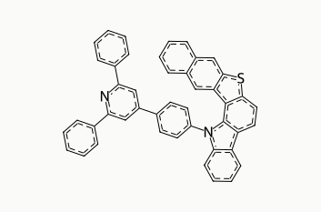 c1ccc(-c2cc(-c3ccc(-n4c5ccccc5c5ccc6sc7cc8ccccc8cc7c6c54)cc3)cc(-c3ccccc3)n2)cc1